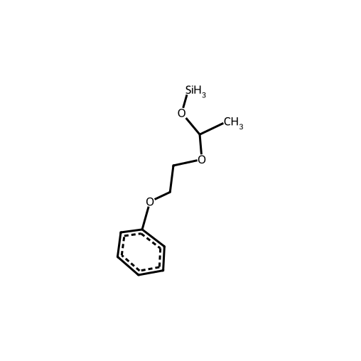 CC(O[SiH3])OCCOc1ccccc1